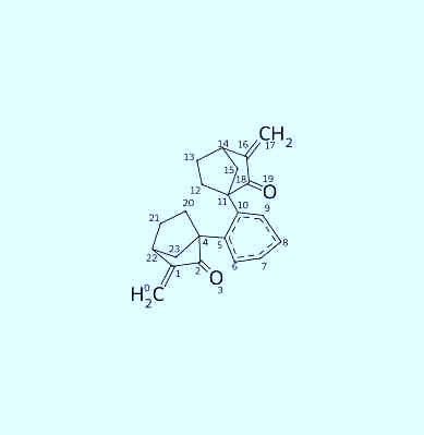 C=C1C(=O)C2(c3ccccc3C34CCC(C3)C(=C)C4=O)CCC1C2